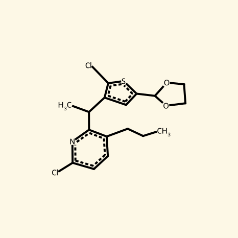 CCCc1ccc(Cl)nc1C(C)c1cc(C2OCCO2)sc1Cl